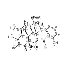 CCCCCC(=O)O[C@H]1[C@H]2C(=C(O)[C@]3(O)C(=O)C(C(C)=O)=C(O)[C@@H](N(C)C)[C@H]13)C(=O)c1c(O)cccc1[C@@H]2C